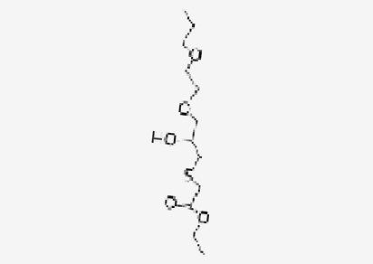 CCCOCCOCC(O)CSCC(=O)OCC